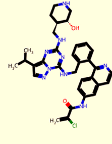 C=C(Cl)C(=O)Nc1ccc2c(-c3ccccc3CNc3nc(NC[C@H]4CCNC[C@@H]4O)nc4c(C(C)C)cnn34)nccc2c1